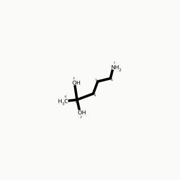 CC(O)(O)[CH]CCN